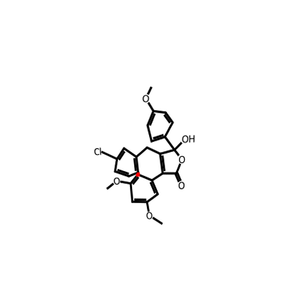 COc1ccc(C2(O)OC(=O)C(c3cc(OC)cc(OC)c3)=C2Cc2cccc(Cl)c2)cc1